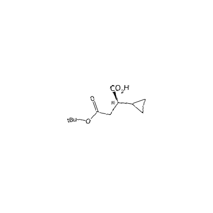 CC(C)(C)OC(=O)C[C@@H](C(=O)O)C1CC1